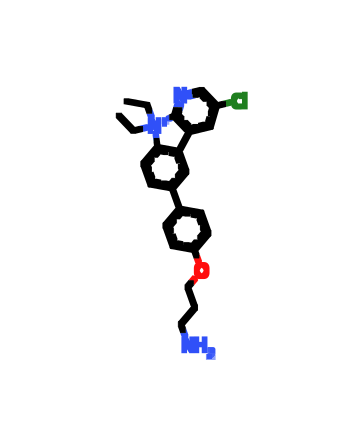 CC[N+]1(CC)c2ccc(-c3ccc(OCCCN)cc3)cc2-c2cc(Cl)cnc21